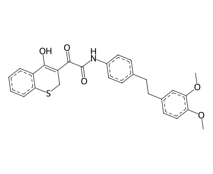 COc1ccc(CCc2ccc(NC(=O)C(=O)C3=C(O)c4ccccc4SC3)cc2)cc1OC